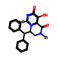 CCN1CC(C(c2ccccc2)c2ccccc2)n2c(OC)nc(=O)c(O)c2C1=O